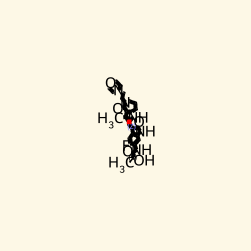 Cc1c(/C=C2\C(=O)Nc3cc(NC(=O)[C@H](C)O)c(F)cc32)[nH]c2c1C(=O)N(CCN1CCOCC1)CCC2